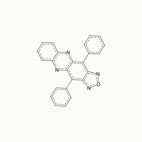 c1ccc(-c2c3nonc3c(-c3ccccc3)c3nc4ccccc4nc23)cc1